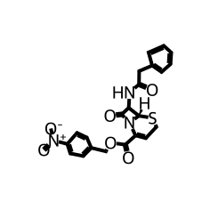 O=C(Cc1ccccc1)NC1C(=O)N2C(C(=O)OCc3ccc([N+](=O)[O-])cc3)=CCS[C@@H]12